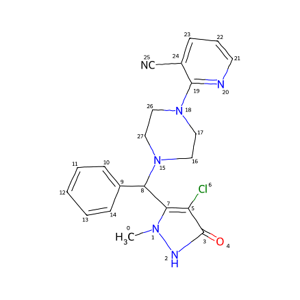 Cn1[nH]c(=O)c(Cl)c1C(c1ccccc1)N1CCN(c2ncccc2C#N)CC1